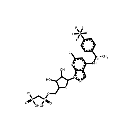 C[C@H](Nc1cc(Cl)nc2c1cnn2C1OC(COP(=O)(O)CP(=O)(O)O)C(O)C1O)c1ccc(S(F)(F)(F)(F)F)cc1